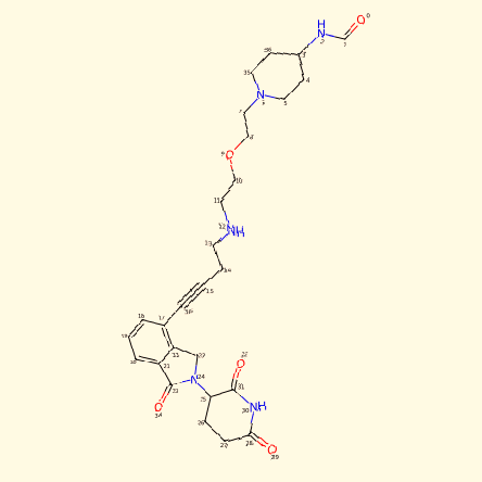 O=CNC1CCN(CCOCCNCCC#Cc2cccc3c2CN(C2CCC(=O)NC2=O)C3=O)CC1